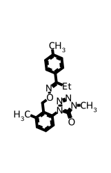 CCC(=NOCc1c(C)cccc1-n1nnn(C)c1=O)c1ccc(C)cc1